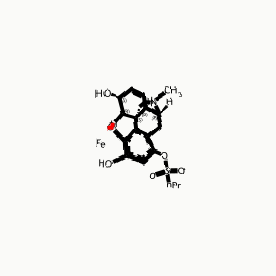 CCCS(=O)(=O)Oc1cc(O)c2c3c1C[C@@H]1[C@@H]4C=C[C@H](O)[C@H](O2)[C@]34CCN1C.[Fe]